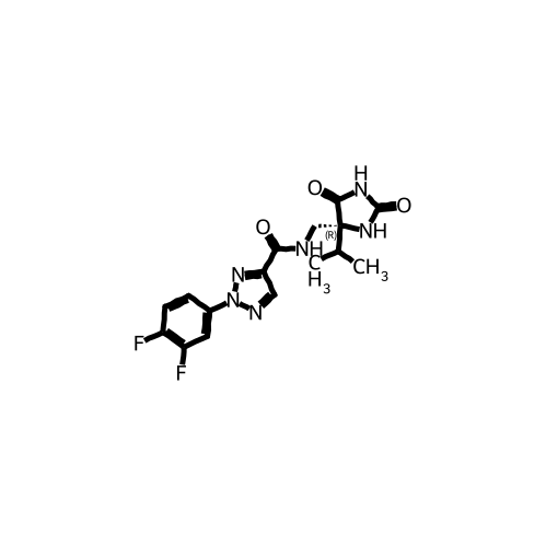 CC(C)[C@]1(CNC(=O)c2cnn(-c3ccc(F)c(F)c3)n2)NC(=O)NC1=O